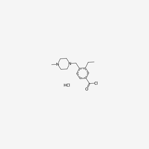 CCc1cc(C(=O)Cl)ccc1CN1CCN(C)CC1.Cl